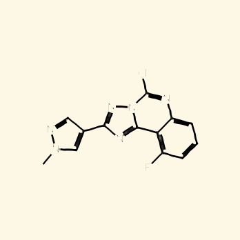 Cn1cc(-c2nc3c4c(F)cccc4nc(Cl)n3n2)cn1